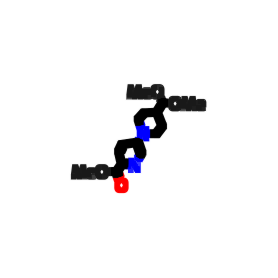 COC(=O)c1ccc(N2CCC(C(OC)OC)CC2)cn1